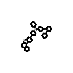 c1ccc(-c2ccccc2-c2ccc(N(c3ccccc3)c3ccc(-c4ccc5c(c4)sc4ccc6ccccc6c45)cc3)cc2)cc1